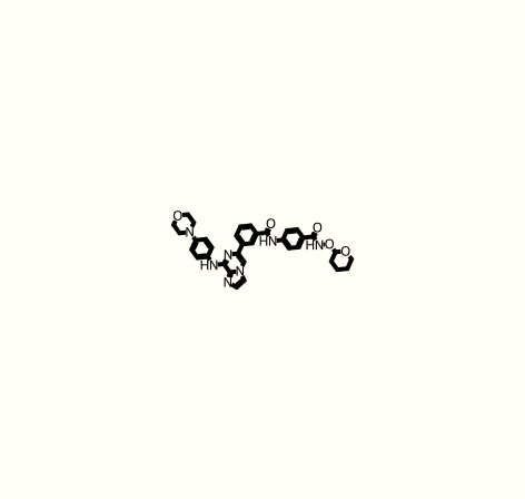 O=C(NOC1CCCCO1)c1ccc(NC(=O)c2cccc(-c3cn4ccnc4c(Nc4ccc(N5CCOCC5)cc4)n3)c2)cc1